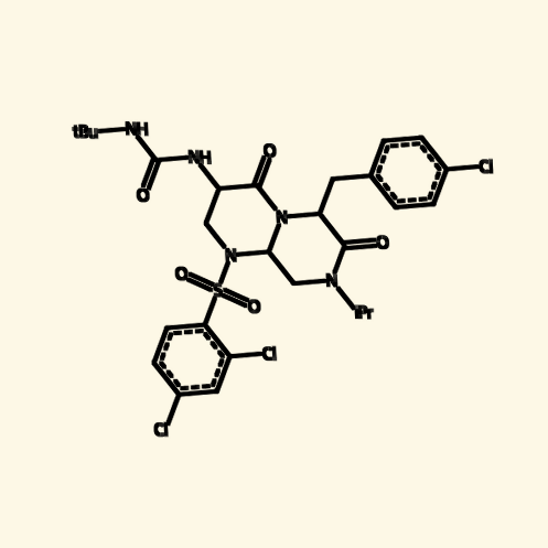 CC(C)N1CC2N(C(=O)C(NC(=O)NC(C)(C)C)CN2S(=O)(=O)c2ccc(Cl)cc2Cl)C(Cc2ccc(Cl)cc2)C1=O